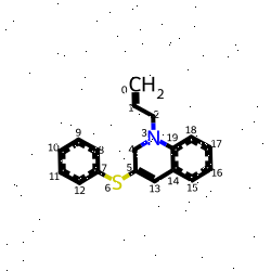 C=CCN1CC(Sc2ccccc2)=Cc2ccccc21